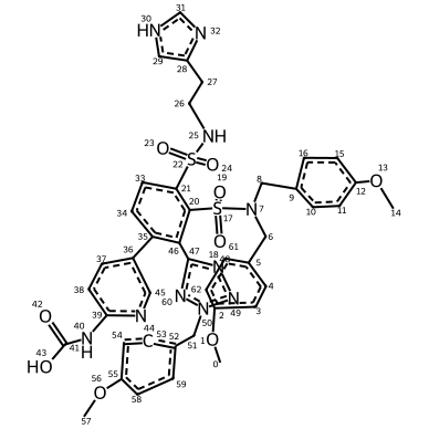 COc1ccc(CN(Cc2ccc(OC)cc2)S(=O)(=O)c2c(S(=O)(=O)NCCc3c[nH]cn3)ccc(-c3ccc(NC(=O)O)nc3)c2-c2nnn(Cc3ccc(OC)cc3)n2)cc1